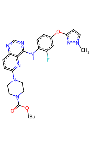 Cn1ccc(Oc2ccc(Nc3ncnc4ccc(N5CCN(C(=O)OC(C)(C)C)CC5)nc34)c(F)c2)n1